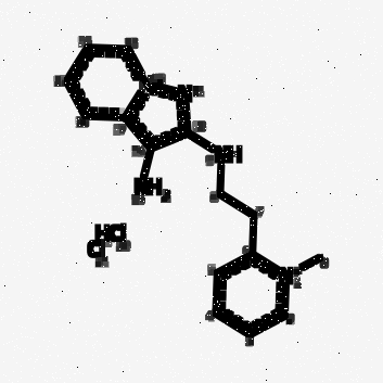 C[n+]1ccccc1CCNc1nn2ccccc2c1N.Cl.[Cl-]